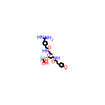 COc1ccc(CCC(=O)N[C@@H](CCCNC(=O)Cc2ccc(C(=N)N)cc2)CC(=O)O)cc1.O=C(O)C(F)(F)F